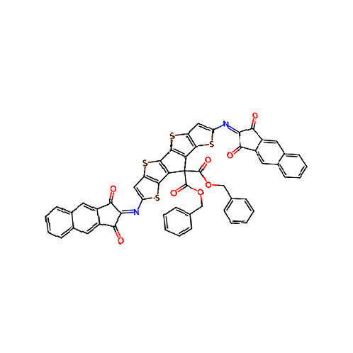 O=C(OCc1ccccc1)C1(C(=O)OCc2ccccc2)c2c(sc3cc(N=c4c(=O)c5cc6ccccc6cc5c4=O)sc23)-c2sc3cc(N=c4c(=O)c5cc6ccccc6cc5c4=O)sc3c21